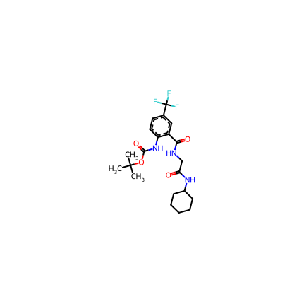 CC(C)(C)OC(=O)Nc1ccc(C(F)(F)F)cc1C(=O)NCC(=O)NC1[CH]CCCC1